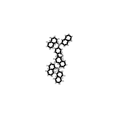 c1ccc2cc(N(c3ccc4c(c3)sc3c5cccc(N(c6ccc7ccccc7c6)c6cccc7ccccc67)c5ccc43)c3cccc4ccccc34)ccc2c1